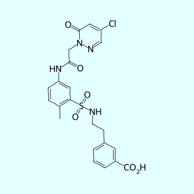 Cc1ccc(NC(=O)Cn2ncc(Cl)cc2=O)cc1S(=O)(=O)NCCc1cccc(C(=O)O)c1